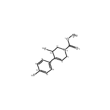 CC(C)(C)OC(=O)N1CC=C(c2ccc(F)cc2)C(F)C1